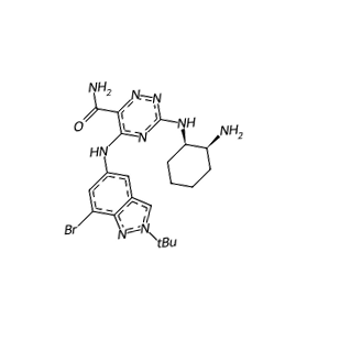 CC(C)(C)n1cc2cc(Nc3nc(N[C@@H]4CCCC[C@@H]4N)nnc3C(N)=O)cc(Br)c2n1